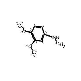 CCOc1ccc(NN)cc1OCC